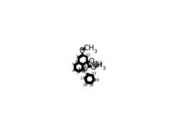 COC1=Cc2ccccc2C(OC)(C(=O)Pc2ccccc2)C1.[Li]